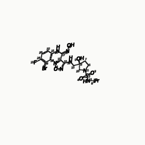 CC(C)NS(=O)(=O)N1CC[C@@](O)(CNc2nonc2/C(=N/O)Nc2ccc(F)c(Br)c2)C1